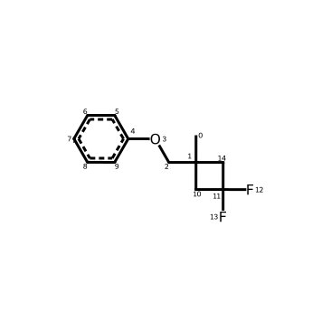 CC1(COc2cc[c]cc2)CC(F)(F)C1